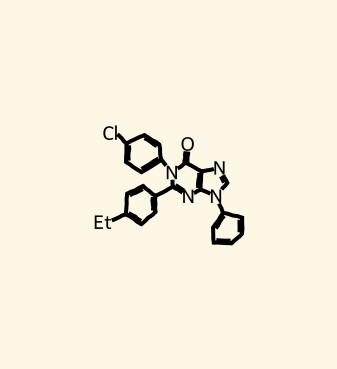 CCc1ccc(-c2nc3c(ncn3-c3ccccc3)c(=O)n2-c2ccc(Cl)cc2)cc1